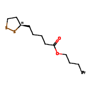 CC(C)CCCOC(=O)CCCC[C@@H]1CCSS1